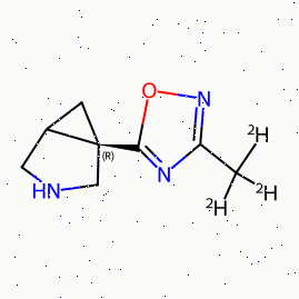 [2H]C([2H])([2H])c1noc([C@@]23CNCC2C3)n1